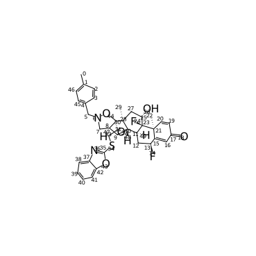 Cc1ccc(CN2C[C@@H]3C[C@H]4[C@@H]5C[C@H](F)C6=CC(=O)C=C[C@]6(C)[C@@]5(F)[C@@H](O)C[C@]4(C)[C@]3(C(=O)CSc3nc4ccccc4o3)O2)cc1